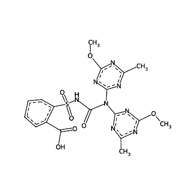 COc1nc(C)nc(N(C(=O)NS(=O)(=O)c2ccccc2C(=O)O)c2nc(C)nc(OC)n2)n1